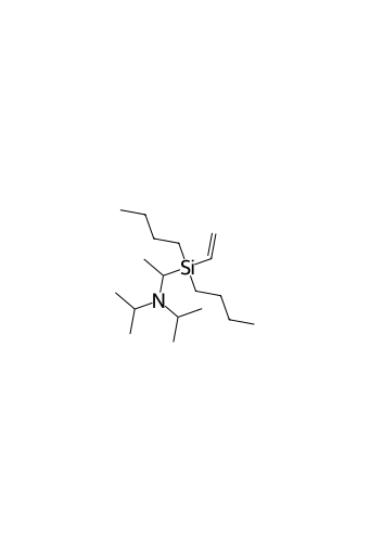 C=C[Si](CCCC)(CCCC)C(C)N(C(C)C)C(C)C